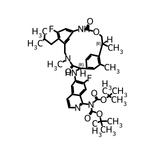 Cc1cc2ccc1[C@@H](C)COC(=O)Nc1cc(F)c(CC(C)C)c(c1)CN(C)C(=O)[C@@H]2Nc1cc2ccnc(N(C(=O)OC(C)(C)C)C(=O)OC(C)(C)C)c2cc1F